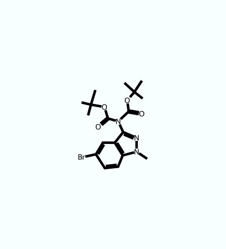 Cn1nc(N(C(=O)OC(C)(C)C)C(=O)OC(C)(C)C)c2cc(Br)ccc21